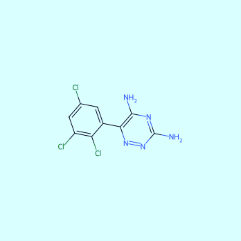 Nc1nnc(-c2cc(Cl)cc(Cl)c2Cl)c(N)n1